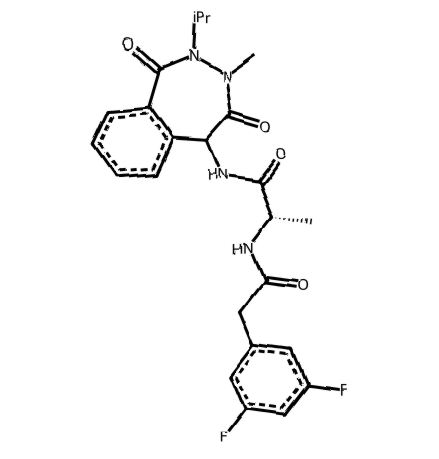 CC(C)N1C(=O)c2ccccc2C(NC(=O)[C@H](C)NC(=O)Cc2cc(F)cc(F)c2)C(=O)N1C